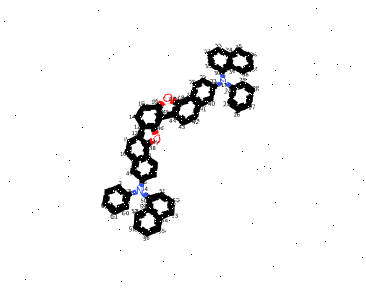 c1ccc(N(c2ccc3c(ccc4c5ccc6oc7c8ccc(N(c9ccccc9)c9cccc%10ccccc9%10)cc8ccc7c6c5oc34)c2)c2cccc3ccccc23)cc1